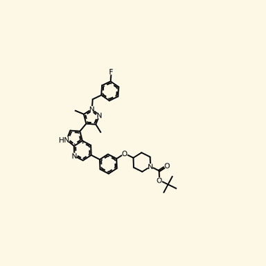 Cc1nn(Cc2cccc(F)c2)c(C)c1-c1c[nH]c2ncc(-c3cccc(OC4CCN(C(=O)OC(C)(C)C)CC4)c3)cc12